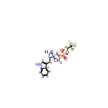 C[N+](C)(CCc1c[nH]c2ccccc12)COP(=O)([O-])OCC(F)(F)F